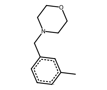 Cc1[c]ccc(CN2CCOCC2)c1